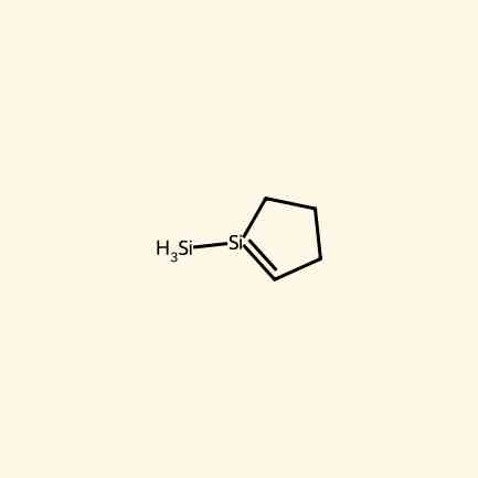 [SiH3][Si]1=CCCC1